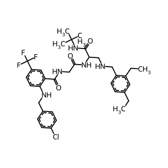 CCc1ccc(CNCC(NC(=O)CNC(=O)c2cc(C(F)(F)F)ccc2NCc2ccc(Cl)cc2)C(=O)NC(C)(C)C)c(CC)c1